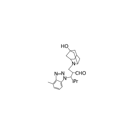 Cc1cccc2c1nnn2C(C(C)C)C(C=O)CN1C2CC3CC1CC(O)(C3)C2